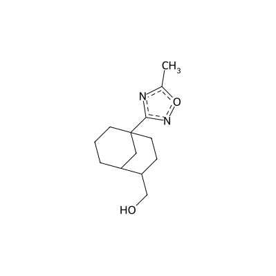 Cc1nc(C23CCCC(C2)C(CO)CC3)no1